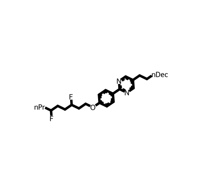 CCCCCCCCCCCCc1cnc(-c2ccc(OCCC(F)CCC(F)CCC)cc2)nc1